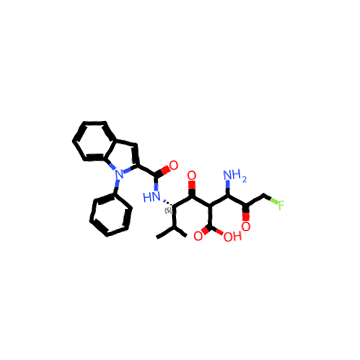 CC(C)[C@H](NC(=O)c1cc2ccccc2n1-c1ccccc1)C(=O)C(C(=O)O)C(N)C(=O)CF